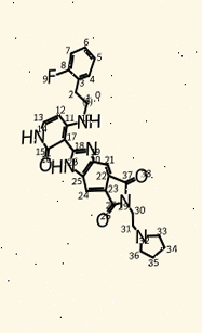 C[C@@H](Cc1ccccc1F)Nc1cc[nH]c(=O)c1-c1nc2cc3c(cc2[nH]1)C(=O)N(CCN1CCCC1)C3=O